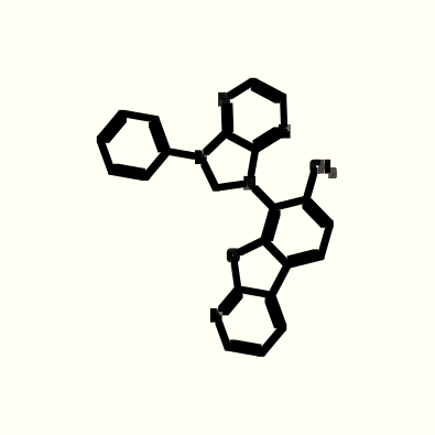 Cc1ccc2c(oc3ncccc32)c1N1CN(c2ccccc2)c2nccnc21